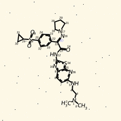 CN(C)CCNc1ccc2nc(NC(=O)/C(=N/N3CCCC3)c3ccc(S(=O)(=O)C4CC4)cc3)sc2n1